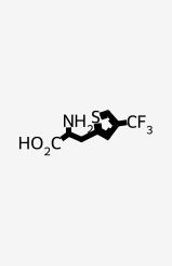 NC(Cc1cc(C(F)(F)F)cs1)C(=O)O